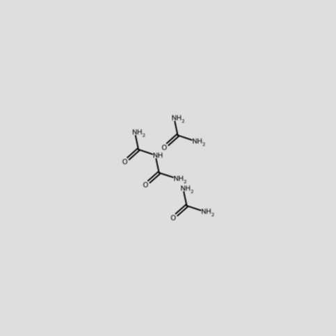 NC(=O)NC(N)=O.NC(N)=O.NC(N)=O